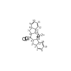 C1=CC2CC3CC4CC5C=CC=CC5[CH]4[Zr+2][CH]3C2C=C1.[Cl-].[Cl-]